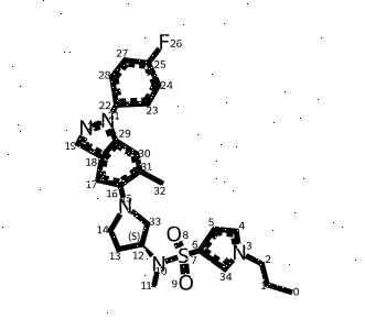 CCCn1ccc(S(=O)(=O)N(C)[C@H]2CCN(c3cc4cnn(-c5ccc(F)cc5)c4cc3C)C2)c1